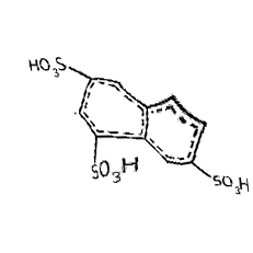 O=S(=O)(O)c1[c]c(S(=O)(=O)O)c2cc(S(=O)(=O)O)ccc2c1